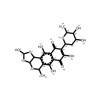 CC1OC2OC(O)OC2c2c(O)c3c(c(O)c21)C(=O)C(O)=C(C1CC(O)C(O)C(C)O1)C3=O